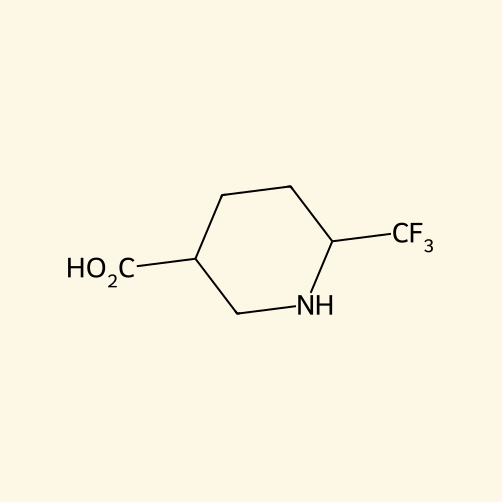 O=C(O)C1CCC(C(F)(F)F)NC1